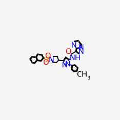 Cc1ccc(-n2nc(C3CCN(S(=O)(=O)c4ccc5ccccc5c4)CC3)cc2NC(=O)c2cnn3cccnc23)cc1